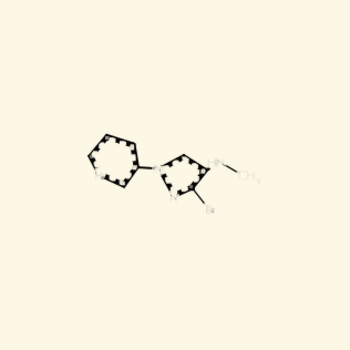 CNc1cn(-c2cccnc2)nc1Br